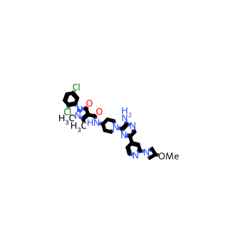 COC1CN(c2cc(-c3cnc(N)c(N4CCC(NC(=O)c5c(C)n(C)n(-c6cc(Cl)ccc6Cl)c5=O)CC4)n3)ccn2)C1